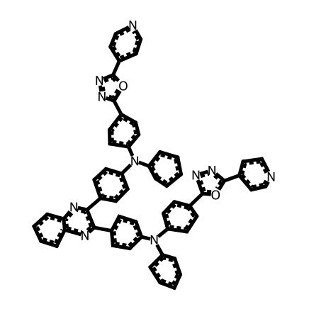 c1ccc(N(c2ccc(-c3nnc(-c4ccncc4)o3)cc2)c2ccc(-c3nc4ccccc4nc3-c3ccc(N(c4ccccc4)c4ccc(-c5nnc(-c6ccncc6)o5)cc4)cc3)cc2)cc1